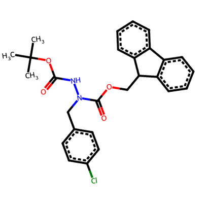 CC(C)(C)OC(=O)NN(Cc1ccc(Cl)cc1)C(=O)OCC1c2ccccc2-c2ccccc21